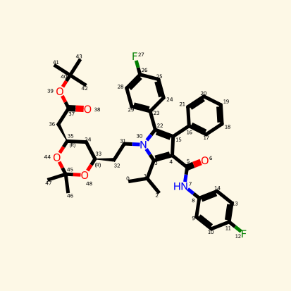 CC(C)c1c(C(=O)Nc2ccc(F)cc2)c(-c2ccccc2)c(-c2ccc(F)cc2)n1CC[C@@H]1C[C@H](CC(=O)OC(C)(C)C)OC(C)(C)O1